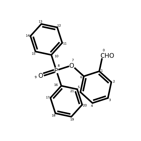 O=Cc1ccccc1OP(=O)(c1ccccc1)c1ccccc1